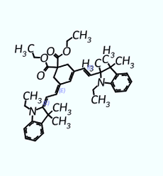 CCOC(=O)C1(C(=O)OCC)CC(/C=C/C2(C)N(CC)c3ccccc3C2(C)C)=CC(=C/C=C2/N(CC)c3ccccc3C2(C)C)/C1